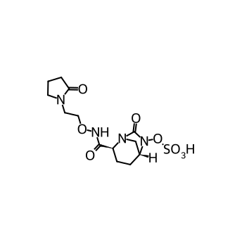 O=C(NOCCN1CCCC1=O)[C@@H]1CC[C@@H]2CN1C(=O)N2OS(=O)(=O)O